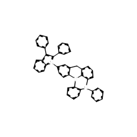 c1ccc(-c2c(-c3ccccc3)n(-c3ccc4c(c3)Cc3cccc5c3B4c3ccccc3N5c3ccccc3)c3ccccc23)cc1